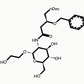 CCCCCCCCCCC[C@H](CC(=O)N[C@H]1[C@@H](OCCO)O[C@H](CO)[C@@H](O)[C@@H]1O)OCc1ccccc1